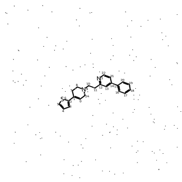 C1=C(c2cccs2)CCN(CCc2cc(-c3ccccc3)ccn2)C1